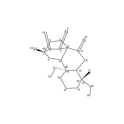 C=C1C(=O)C23CC[C@H]1CC2[C@]1(CC)CCC[C@@](C)(CC)C1CC3=O